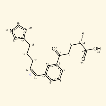 C[C@@H](CCC(=O)c1cccc(/C=C\CCCc2cncs2)c1)C(=O)O